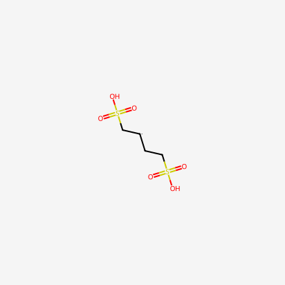 O=S(=O)(O)C[CH]CCS(=O)(=O)O